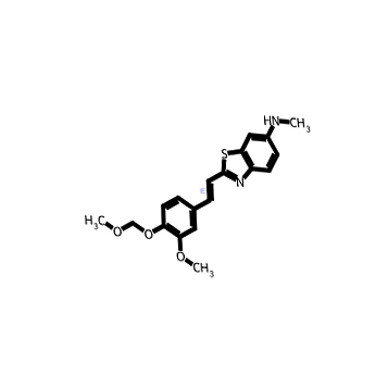 CNc1ccc2nc(/C=C/c3ccc(OCOC)c(OC)c3)sc2c1